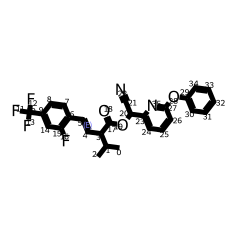 CC(C)C(/C=C/c1ccc(C(F)(F)F)cc1F)C(=O)OC(C#N)c1cccc(Oc2ccccc2)n1